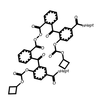 CCCCCCCC(=O)c1ccc(OC(=O)OC2CCC2)c(C(=O)c2ccccc2C(=O)OOC(=O)c2ccccc2C(=O)c2cc(C(=O)CCCCCCC)ccc2OC(=O)OC2CCC2)c1